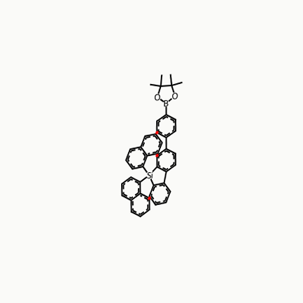 CC1(C)OB(c2ccc(-c3ccc4c(c3)[Si](c3cccc5ccccc35)(c3cccc5ccccc35)c3ccccc3-4)cc2)OC1(C)C